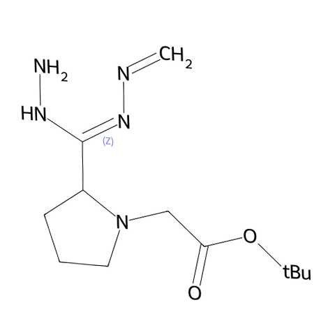 C=N/N=C(\NN)C1CCCN1CC(=O)OC(C)(C)C